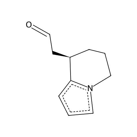 O=CC[C@H]1CCCn2cccc21